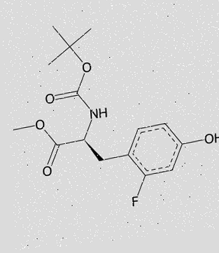 COC(=O)[C@H](Cc1ccc(O)cc1F)NC(=O)OC(C)(C)C